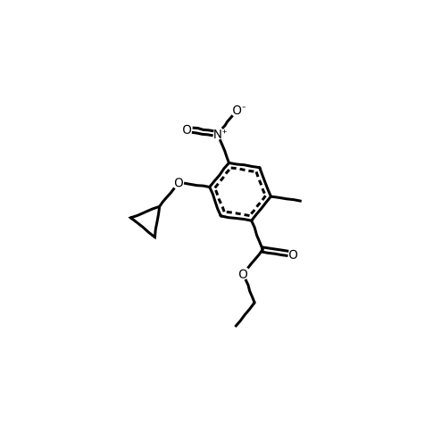 CCOC(=O)c1cc(OC2CC2)c([N+](=O)[O-])cc1C